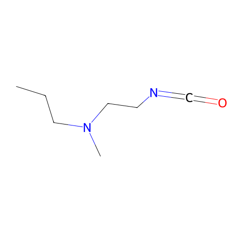 CCCN(C)CCN=C=O